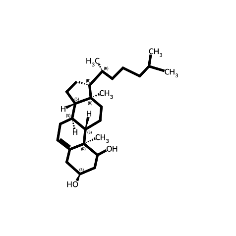 CC(C)CCC[C@@H](C)[C@H]1CC[C@H]2[C@@H]3CC=C4C[C@H](O)CC(O)[C@]4(C)[C@H]3CC[C@]12C